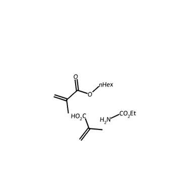 C=C(C)C(=O)O.C=C(C)C(=O)OCCCCCC.CCOC(N)=O